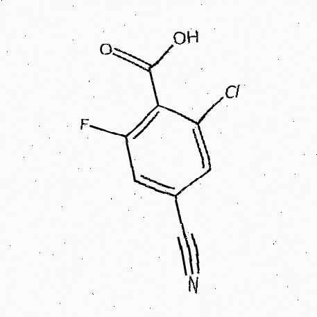 N#Cc1cc(F)c(C(=O)O)c(Cl)c1